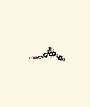 Nc1nc2c(c(N3CCN(CCOCCOCO)CC3)n1)CCc1cc(OCc3ccc(Cl)cc3)ccc1-2